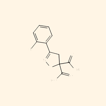 O=C(O)C1(C(=O)O)CC(c2ccccc2Cl)=NO1